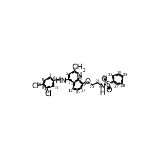 Cc1cc(NCc2ccc(Cl)c(Cl)c2)c2cccc(OCCNS(=O)(=O)c3ccccc3)c2n1